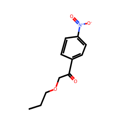 CCCOCC(=O)c1ccc([N+](=O)[O-])cc1